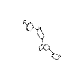 Fc1ccc(-c2cc(-c3cnc4cc(-c5cccnc5)ccn34)ccn2)cc1